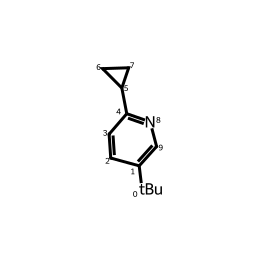 CC(C)(C)c1ccc(C2CC2)nc1